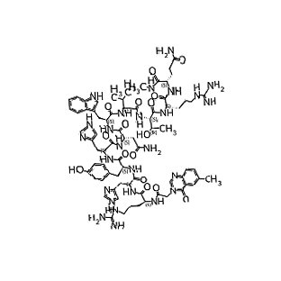 CNC(=O)[C@H](CCC(N)=O)NC(=O)[C@H](CCCNC(=N)N)NC(=O)[C@@H](NC(=O)[C@@H](NC(=O)[C@H](Cc1c[nH]c2ccccc12)NC(=O)[C@H](CC(N)=O)NC(=O)[C@H](Cc1c[nH]cn1)NC(=O)[C@H](Cc1ccc(O)cc1)NC(=O)[C@H](Cc1c[nH]cn1)NC(=O)[C@H](CCCNC(=N)N)NC(=O)Cn1cnc2ccc(C)cc2c1=O)C(C)C)[C@@H](C)O